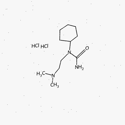 CN(C)CCN(C(N)=O)C1CCCCC1.Cl.Cl